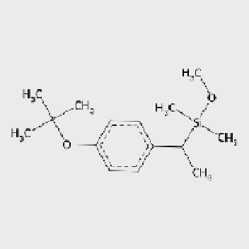 CO[Si](C)(C)C(C)c1ccc(OC(C)(C)C)cc1